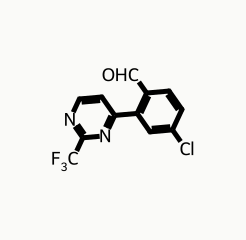 O=Cc1ccc(Cl)cc1-c1ccnc(C(F)(F)F)n1